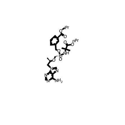 CCCOC(=O)C(C)(C)N[P@](=O)(CO[C@H](C)Cn1cnc2c(N)ncnc21)OCc1cccc(C(=O)OC(C)C)c1